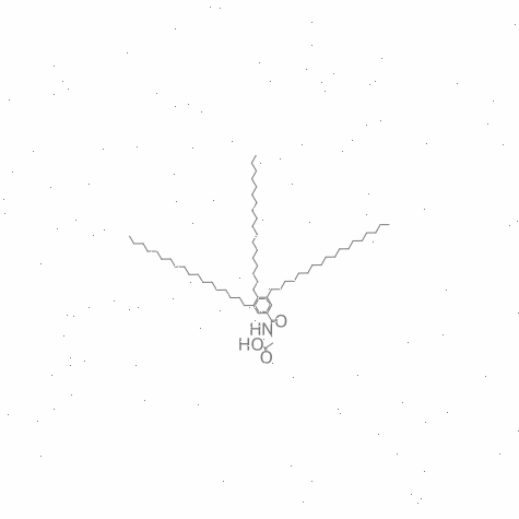 CC(=O)O.CCCCCCCCCCCCCCCCCCc1cc(C(=O)NC)cc(CCCCCCCCCCCCCCCCCC)c1CCCCCCCCCCCCCCCCCC